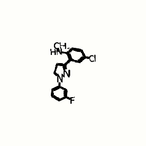 CNc1ccc(Cl)cc1C1=NN(c2cccc(F)c2)CC1